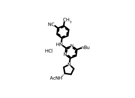 CCCCc1cc(N2CC[C@H](NC(C)=O)C2)nc(Nc2ccc(C)c(C#N)c2)n1.Cl